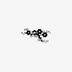 Cc1cccc(Oc2c(Cl)cccc2[C@](O)(CCCNC(=O)O)[C@@H]2CCCN(C(=O)[C@H]3C[C@@H](N)[C@@H](O)C3)C2)c1